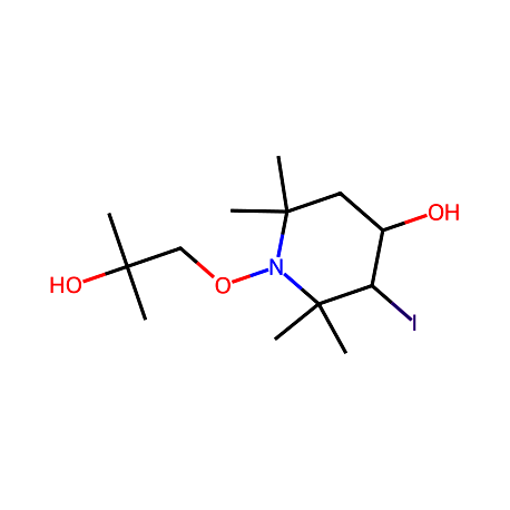 CC(C)(O)CON1C(C)(C)CC(O)C(I)C1(C)C